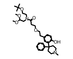 COC(CN(CCOC(C)(C)C)C(=O)CCOCCc1ccc(O)c(C2(c3ccccc3)CCN(C)CC2)c1)OC